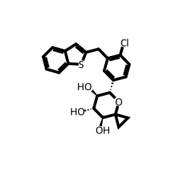 O[C@@H]1[C@@H](O)[C@H](O)C2(CC2)O[C@H]1c1ccc(Cl)c(Cc2cc3ccccc3s2)c1